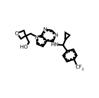 OCC1(Cn2ccc3c(NC(c4ccc(C(F)(F)F)cc4)C4CC4)ncnc32)COC1